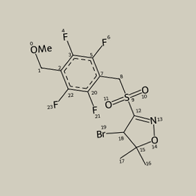 COCc1c(F)c(F)c(CS(=O)(=O)C2=NOC(C)(C)C2Br)c(F)c1F